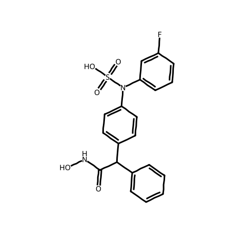 O=C(NO)C(c1ccccc1)c1ccc(N(c2cccc(F)c2)S(=O)(=O)O)cc1